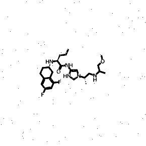 CCC[C@H](N[C@H]1CCc2cc(F)cc(F)c2C1)C(=O)NC1=CN([C@@H](C)CNC(C)COC)CN1